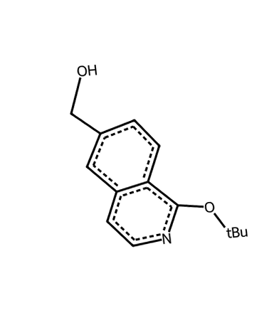 CC(C)(C)Oc1nccc2cc(CO)ccc12